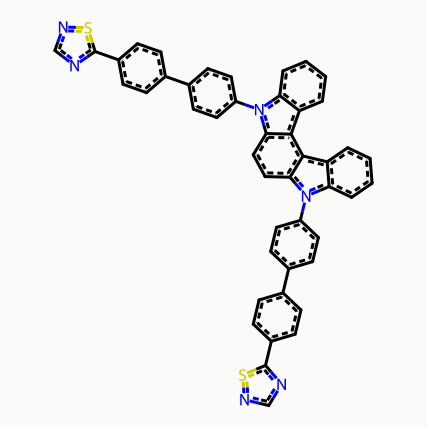 c1ccc2c(c1)c1c3c4ccccc4n(-c4ccc(-c5ccc(-c6ncns6)cc5)cc4)c3ccc1n2-c1ccc(-c2ccc(-c3ncns3)cc2)cc1